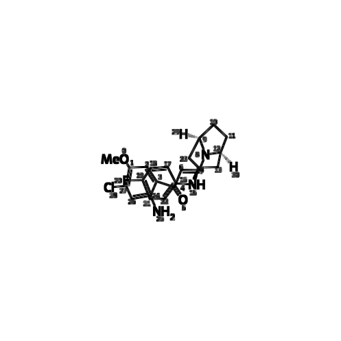 COc1cc(C(=O)/C=C/N2[C@@H]3CC[C@H]2C[C@@H](Nc2ccc(F)cc2)C3)c(N)cc1Cl